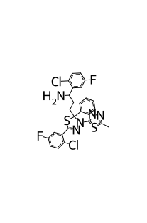 Cc1nnc(N2N=C(c3cc(F)ccc3Cl)SC2(CCC(N)c2cc(F)ccc2Cl)c2ccccc2)s1